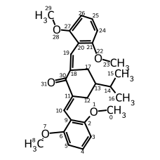 COc1cccc(OC)c1/C=C1\CC(C(C)C)C/C(=C\c2c(OC)cccc2OC)C1=O